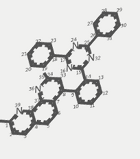 Cc1ccc2ccc3c(-c4ccccc4-c4nc(-c5ccccc5)nc(-c5ccccc5)n4)cc(C)nc3c2n1